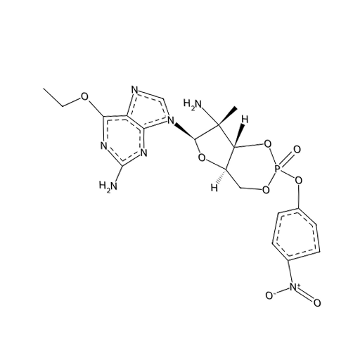 CCOc1nc(N)nc2c1ncn2[C@@H]1O[C@@H]2COP(=O)(Oc3ccc([N+](=O)[O-])cc3)O[C@H]2[C@@]1(C)N